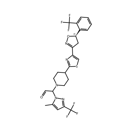 Cc1cc(C(F)(F)F)nn1C(C=O)N1CCC(c2nc(C3=NO[C@@H](c4ccccc4C(F)(F)F)C3)cs2)CC1